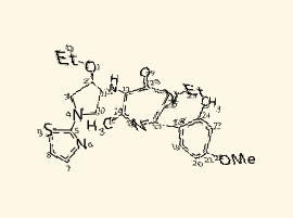 CCO[C@@H]1CN(c2nccs2)C[C@H]1Nc1c(C)nc(-c2ccc(OC)cc2C)n(CC)c1=O